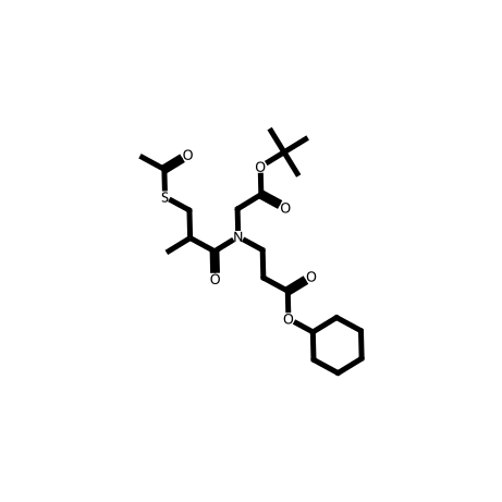 CC(=O)SCC(C)C(=O)N(CCC(=O)OC1CCCCC1)CC(=O)OC(C)(C)C